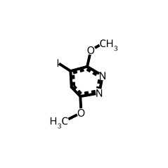 COc1cc(I)c(OC)nn1